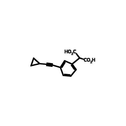 O=C(O)C(C(=O)O)c1cccc(C#CC2CC2)c1